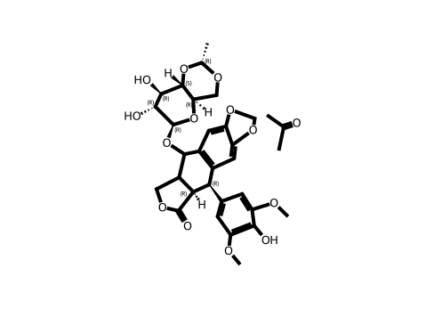 CC(C)=O.COc1cc([C@@H]2c3cc4c(cc3C(O[C@@H]3O[C@@H]5CO[C@@H](C)O[C@H]5[C@H](O)[C@H]3O)C3COC(=O)[C@@H]32)OCO4)cc(OC)c1O